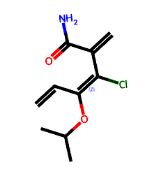 C=C/C(OC(C)C)=C(/Cl)C(=C)C(N)=O